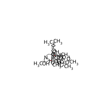 CC[C@]1(O)C[C@H]2CN(CCc3c([nH]c4ccc(SSC(C)C)cc34)[C@@](C(=O)OC)(C3C=C4C(=CC3OC)N(C)[C@@]35O[C@]3(C(=O)OC)[C@H](OC(C)=O)[C@]3(CC)C=CCN6CC[C@]45[C@@H]63)C2)C1